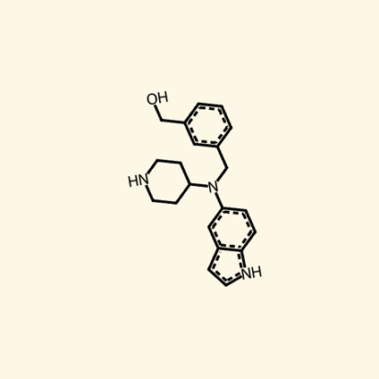 OCc1cccc(CN(c2ccc3[nH]ccc3c2)C2CCNCC2)c1